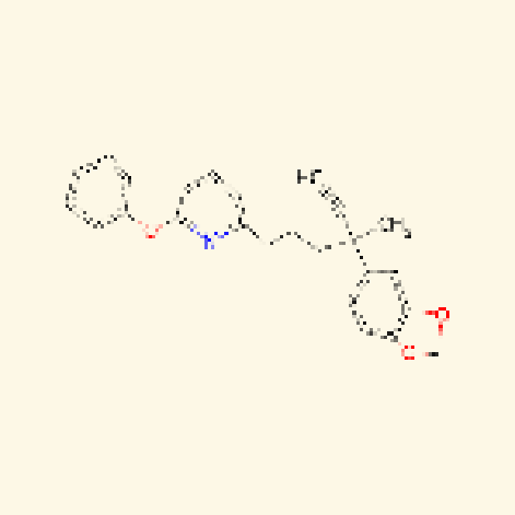 C#CC(C)(CCCc1cccc(Oc2ccccc2)n1)c1ccc2c(c1)OCO2